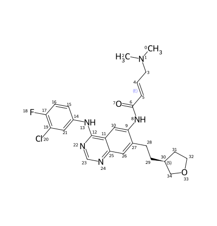 CN(C)C/C=C/C(=O)Nc1cc2c(Nc3ccc(F)c(Cl)c3)ncnc2cc1CC[C@H]1CCOC1